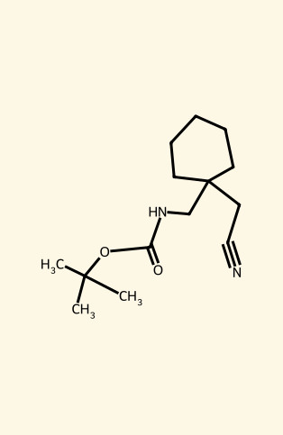 CC(C)(C)OC(=O)NCC1(CC#N)CCCCC1